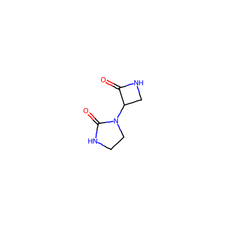 O=C1NCC1N1CCNC1=O